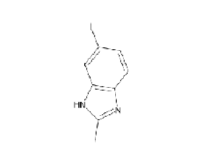 Cc1nc2ccc(I)cc2[nH]1